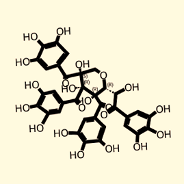 O=C(c1cc(O)c(O)c(O)c1)C(O)[C@H]1OC[C@@](O)(C(=O)c2cc(O)c(O)c(O)c2)[C@](O)(C(=O)c2cc(O)c(O)c(O)c2)[C@@]1(O)C(=O)c1cc(O)c(O)c(O)c1